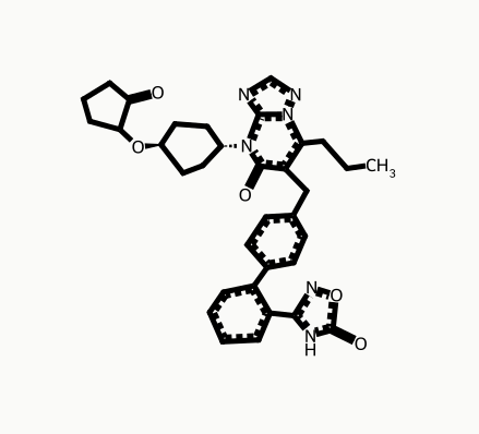 CCCc1c(Cc2ccc(-c3ccccc3-c3noc(=O)[nH]3)cc2)c(=O)n([C@H]2CC[C@H](OC3CCCC3=O)CC2)c2ncnn12